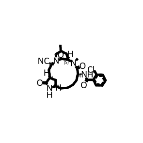 CC1C[C@H]2C(=O)N(C1)[C@H](C#N)C[C@@H]1C[C@@H](CCCC[C@H](NC(=O)c3ccccc3Cl)C(=O)N2C)NC1=O